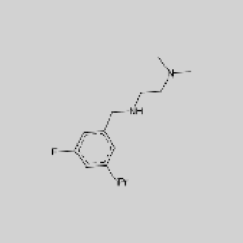 CC(C)c1cc(F)cc(CNCCN(C)C)c1